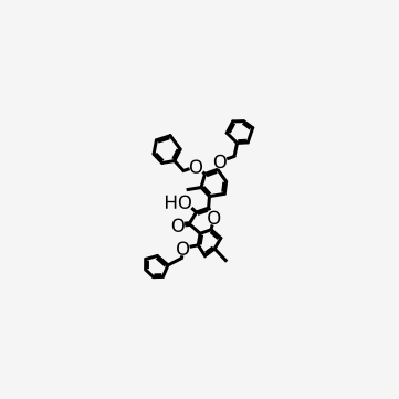 Cc1cc(OCc2ccccc2)c2c(=O)c(O)c(-c3ccc(OCc4ccccc4)c(OCc4ccccc4)c3C)oc2c1